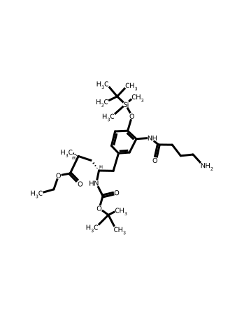 CCOC(=O)[C@H](C)C[C@H](Cc1ccc(O[Si](C)(C)C(C)(C)C)c(NC(=O)CCCN)c1)NC(=O)OC(C)(C)C